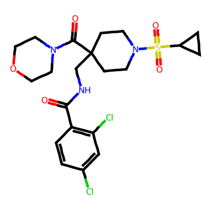 O=C(NCC1(C(=O)N2CCOCC2)CCN(S(=O)(=O)C2CC2)CC1)c1ccc(Cl)cc1Cl